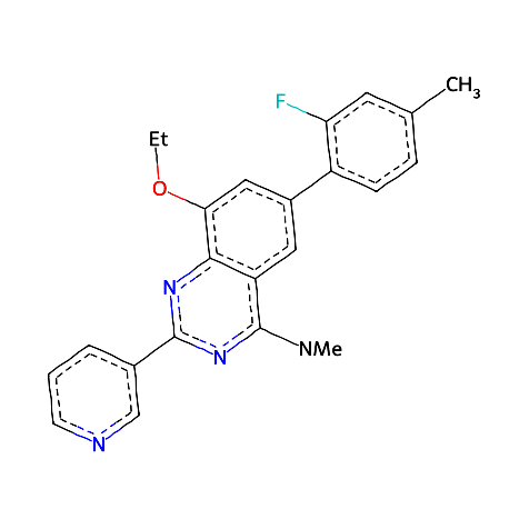 CCOc1cc(-c2ccc(C)cc2F)cc2c(NC)nc(-c3cccnc3)nc12